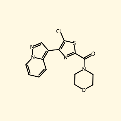 O=C(c1nc(-c2cnn3ccccc23)c(Cl)s1)N1CCOCC1